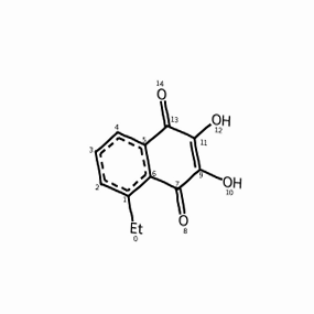 CCc1cccc2c1C(=O)C(O)=C(O)C2=O